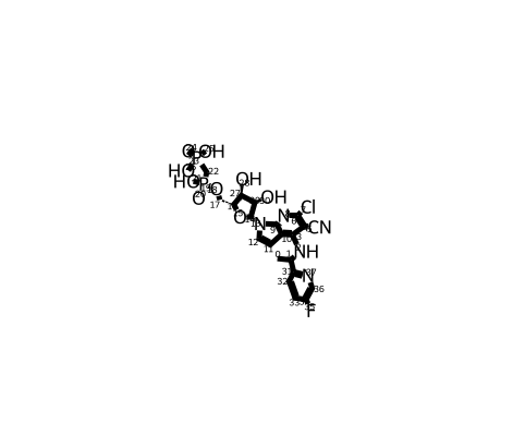 CC(Nc1c(C#N)c(Cl)nc2c1ccn2[C@@H]1O[C@H](COP(=O)(O)CP(=O)(O)O)[C@@H](O)[C@H]1O)c1ccc(F)cn1